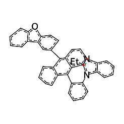 CCc1nc2ccccc2n1-c1ccccc1-c1c2ccccc2c(-c2ccc3oc4ccccc4c3c2)c2ccccc12